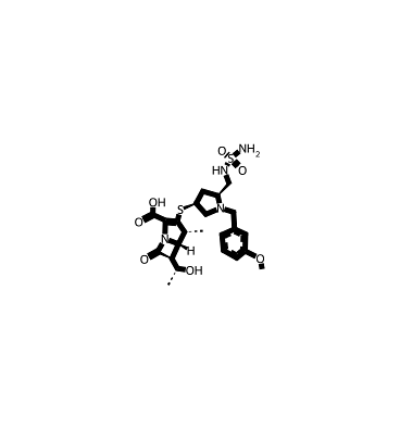 COc1cccc(CN2C[C@@H](SC3=C(C(=O)O)N4C(=O)[C@H]([C@@H](C)O)[C@H]4[C@H]3C)C[C@H]2CNS(N)(=O)=O)c1